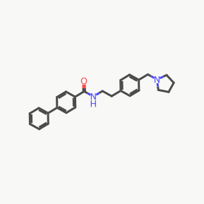 O=C(NCCc1ccc(CN2CCCC2)cc1)c1ccc(-c2ccccc2)cc1